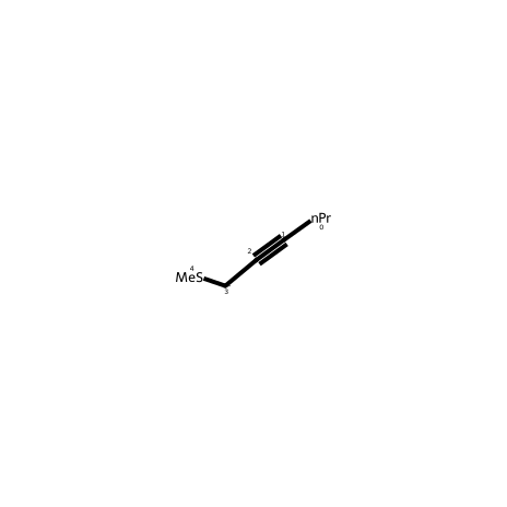 CCCC#C[CH]SC